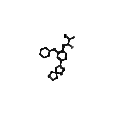 FC(F)C(F)Oc1ccc(C2=NOC3(CCOC3)C2)cc1OC1CCCCC1